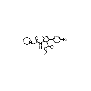 CCOC(=O)c1c(-c2ccc(Br)cc2)csc1NC(=O)CN1CCCCC1